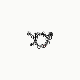 CC(C)=C=C1C(=O)O[C@H](C)C(=O)N(C)C(CC(C)C)C(=O)O[C@H](Cc2ccc(Cn3cccn3)cc2)C(=O)N(C)[C@@]2(CC2(C)C)C(=O)O[C@H](C)C(=O)N(C)[C@@H](CC(C)C)C(=O)O[C@H](Cc2ccc(Cn3cccn3)cc2)C(=O)N1C